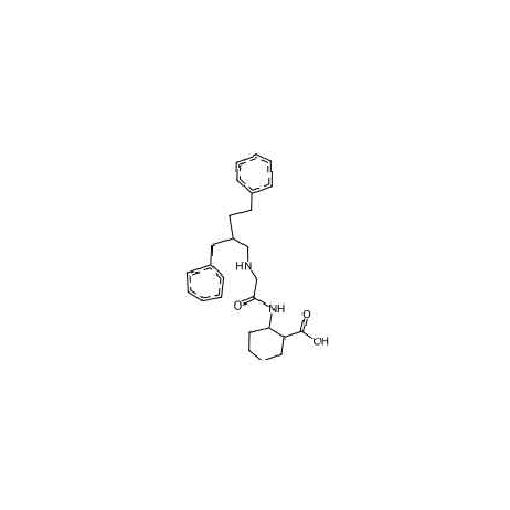 O=C(CNCC(CCc1ccccc1)Cc1ccccc1)NC1CCCCC1C(=O)O